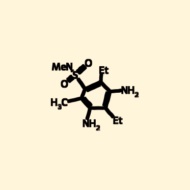 CCc1c(N)c(C)c(S(=O)(=O)NC)c(CC)c1N